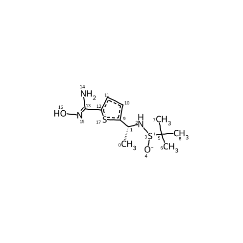 C[C@@H](N[S+]([O-])C(C)(C)C)c1ccc(C(N)=NO)s1